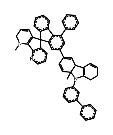 CN1CC=CC2=C1c1ncccc1C21c2ccccc2-c2c(-c3ccccc3)cc(C3=CC4C5=C(CCC=C5)N(c5cccc(-c6ccccc6)c5)C4(C)C=C3)cc21